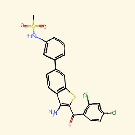 CS(=O)(=O)Nc1cccc(-c2ccc3c(N)c(C(=O)c4ccc(Cl)cc4Cl)sc3c2)c1